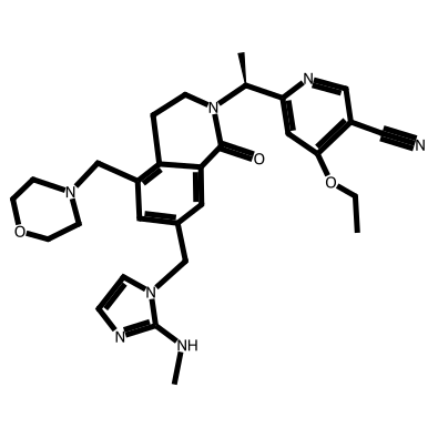 CCOc1cc([C@H](C)N2CCc3c(CN4CCOCC4)cc(Cn4ccnc4NC)cc3C2=O)ncc1C#N